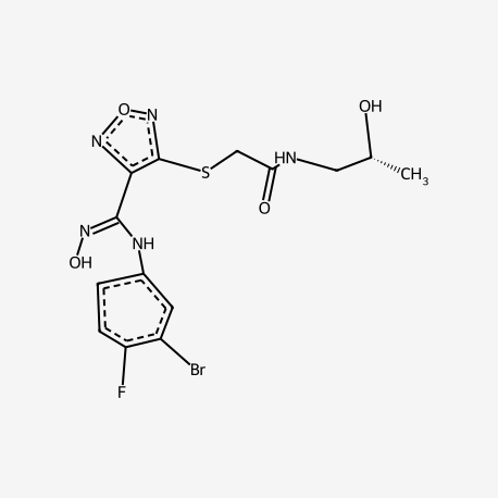 C[C@@H](O)CNC(=O)CSc1nonc1/C(=N/O)Nc1ccc(F)c(Br)c1